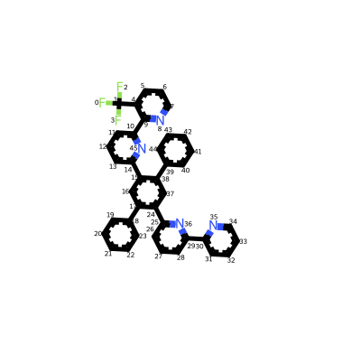 FC(F)(F)c1cccnc1-c1cccc(-c2cc(-c3ccccc3)c(-c3cccc(-c4ccccn4)n3)cc2-c2ccccc2)n1